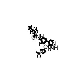 CC(=O)N1CCC(Oc2n[nH]c3nccc(-c4ccc(CNC(=O)c5nc(C(C)(C)C)no5)c(F)c4)c23)C1